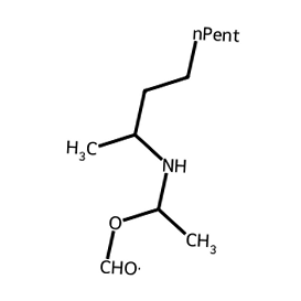 CCCCCCCC(C)NC(C)O[C]=O